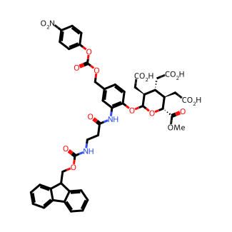 COC(=O)[C@@H]1OC(Oc2ccc(COC(=O)Oc3ccc([N+](=O)[O-])cc3)cc2NC(=O)CCNC(=O)OCC2c3ccccc3-c3ccccc32)[C@@H](CC(=O)O)[C@H](CC(=O)O)[C@H]1CC(=O)O